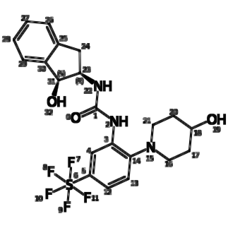 O=C(Nc1cc(S(F)(F)(F)(F)F)ccc1N1CCC(O)CC1)N[C@@H]1Cc2ccccc2[C@@H]1O